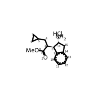 COC(=O)C(CC1CC1)[C@@H]1c2ccccc2C[C@H]1N.Cl